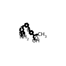 CC#CC(CC(=O)O)c1ccc(OCc2cccc(CN3CCc4nc(N)ncc4C3)c2)cc1